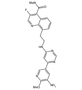 CNC(=O)c1c(F)cnc2c(CCNc3cc(-c4cnc(OC)c(N)c4)ncn3)cccc12